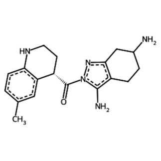 Cc1ccc2c(c1)[C@@H](C(=O)n1nc3c(c1N)CCC(N)C3)CCN2